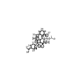 CCCCc1[nH]c(=O)c(S(=O)(=O)c2ccc(C(C)C)cn2)c(O)c1-c1c(OC)cccc1OC